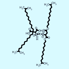 CC(C)CCCCCCCCCCC(CCCCCCCCCCC(C)C)(C(=O)O)C(C(=O)O)S(=O)(=O)O.CC(C)CCCCCCCCCCOC(=O)CC(C(=O)OCCCCCCCCCCC(C)C)S(=O)(=O)O